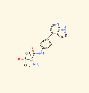 CC(C)(O)[C@@H](N)C(=O)Nc1ccc(-c2ccnc3[nH]ccc23)cc1